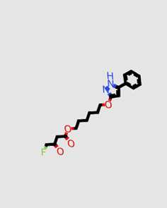 O=C(CF)CC(=O)OCCCCCCOc1cc(-c2ccccc2)[nH]n1